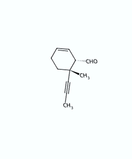 CC#C[C@]1(C)CCC=C[C@@H]1C=O